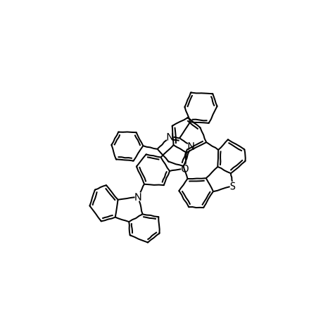 c1ccc(C2=NC(c3ccccc3)CC(c3cccc4sc5cccc(-c6cccc7c6oc6cc(-n8c9ccccc9c9ccccc98)ccc67)c5c34)=N2)cc1